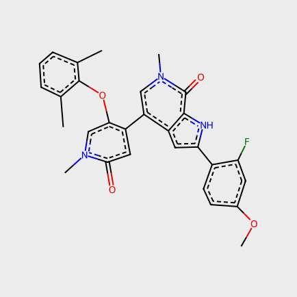 COc1ccc(-c2cc3c(-c4cc(=O)n(C)cc4Oc4c(C)cccc4C)cn(C)c(=O)c3[nH]2)c(F)c1